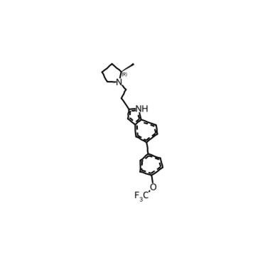 C[C@@H]1CCCN1CCc1cc2cc(-c3ccc(OC(F)(F)F)cc3)ccc2[nH]1